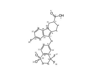 O=C(O)C1CCc2c(Cc3ccc4c(c3)C(F)(F)CCS4(=O)=O)c3cc(F)ccc3n2C1